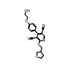 N#Cc1cnc(SCC2CCOC2)c(C#N)c1-c1ccc(OCCO)cc1